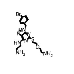 NCCNc1nc(SCCOCCN)nc2c1nnn2Cc1ccc(Br)cc1